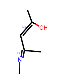 C/N=C(C)/C=C(/C)O